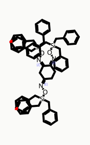 c1ccc(C[Si](Cc2ccccc2)(Cc2ccccc2)O/N=C2/CC/C(=N\O[Si](Cc3ccccc3)(Cc3ccccc3)Cc3ccccc3)C/C2=N/O[Si](Cc2ccccc2)(Cc2ccccc2)Cc2ccccc2)cc1